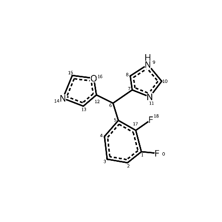 Fc1cccc(C(c2c[nH]cn2)c2cnco2)c1F